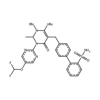 CCCCC1=C(Cc2ccc(-c3ccccc3S(N)(=O)=O)cc2)C(=O)N(c2ncc(OC(F)F)cn2)C(C)N1C(C)(C)C